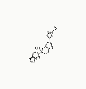 Cc1cc2nccn2nc1N1CCc2ncc(-c3cnn(C4CC4)c3)cc2C1